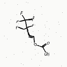 O=C(O)OC=CC(F)(F)C(F)(F)F